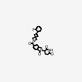 O=C1CCC(N2Cc3cc(C(=O)N4CC5(C=C(c6ccccc6F)C5)C4)ccc3C2=O)C(=O)N1